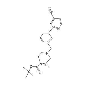 [C-]#[N+]c1ccnc(-c2cccc(CN3CCN(C(=O)OC(C)(C)C)[C@@H](C)C3)c2)c1